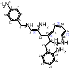 N/C(=C\NCc1ccc(N)cc1)C\C1=C/C=C\C=C\NNC1Cc1ccccc1N